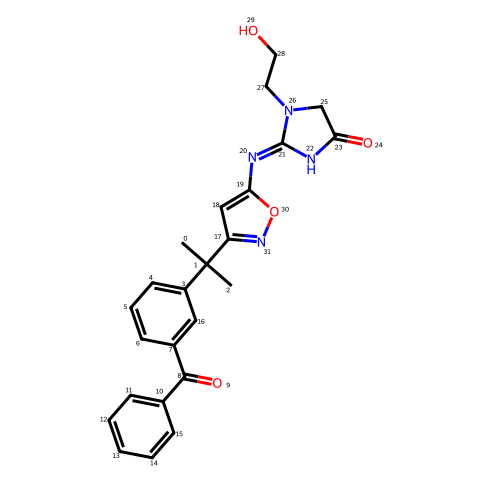 CC(C)(c1cccc(C(=O)c2ccccc2)c1)c1cc(/N=C2\NC(=O)CN2CCO)on1